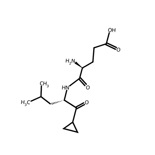 CC(C)C[C@H](NC(=O)[C@@H](N)CCC(=O)O)C(=O)[C]1CC1